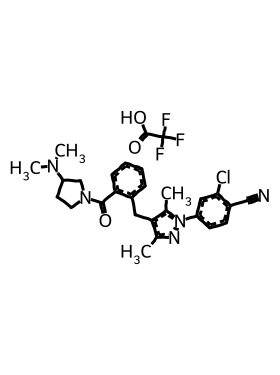 Cc1nn(-c2ccc(C#N)c(Cl)c2)c(C)c1Cc1ccccc1C(=O)N1CCC(N(C)C)C1.O=C(O)C(F)(F)F